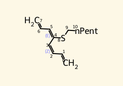 C=C/C=C\C(=C/C=C)SCCCCCC